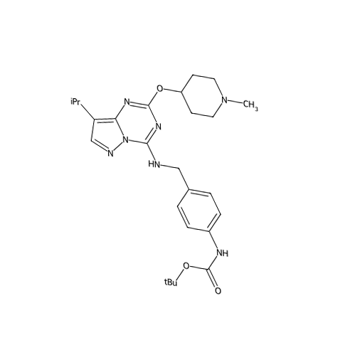 CC(C)c1cnn2c(NCc3ccc(NC(=O)OC(C)(C)C)cc3)nc(OC3CCN(C)CC3)nc12